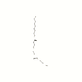 CCCCCCCCCCOC(=O)CCCOCCOC(C)COCCOCC